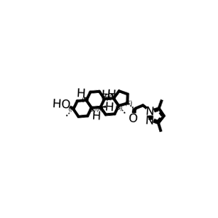 Cc1cc(C)n(CC(=O)[C@H]2CC[C@H]3[C@@H]4CC[C@@H]5C[C@](C)(O)CC[C@@H]5[C@H]4CC[C@]23C)n1